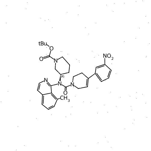 Cc1cccc2ccnc(N(C(=O)N3CC=C(c4cccc([N+](=O)[O-])c4)CC3)[C@@H]3CCCN(C(=O)OC(C)(C)C)C3)c12